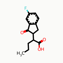 CCCC(C(=O)O)C1Cc2ccc(F)cc2C1=O